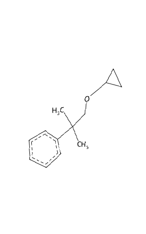 CC(C)(COC1CC1)c1ccccc1